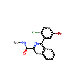 CCC(C)NC(=O)c1cc2ccccc2c(-c2cc(Br)ccc2Cl)n1